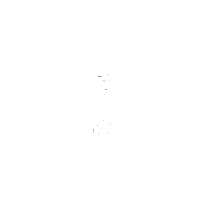 CC(C(=O)OCCCCCOC(=O)C(C)N1C(=O)C2=C(CCCC2)C1=O)N1C(=O)C2=C(CCCC2)C1=O